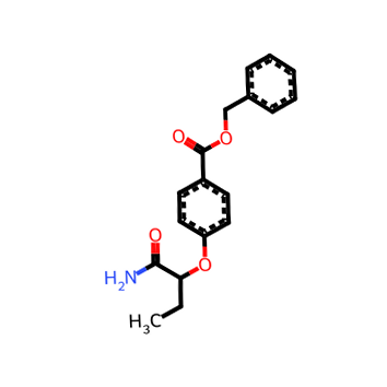 CCC(Oc1ccc(C(=O)OCc2ccccc2)cc1)C(N)=O